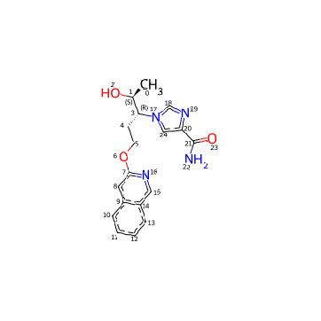 C[C@H](O)[C@@H](CCOc1cc2ccccc2cn1)n1cnc(C(N)=O)c1